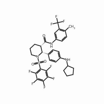 Cc1ccc(NC(=O)[C@H]2CCCN(S(=O)(=O)c3c(F)c(F)c(F)c(F)c3F)[C@H]2c2ccc(NC3CCCC3)cc2)cc1C(F)(F)F